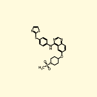 CS(=O)(=O)N1CCC(Oc2ccc3ncnc(Nc4ccc(Sc5nccs5)cc4)c3c2)CC1